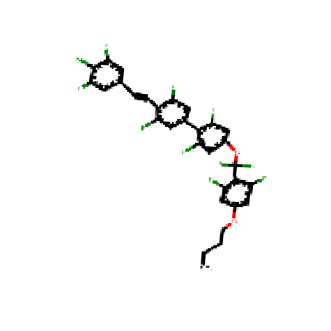 CCCCOc1cc(F)c(C(F)(F)Oc2cc(F)c(-c3cc(F)c(C#Cc4cc(F)c(F)c(F)c4)c(F)c3)c(F)c2)c(F)c1